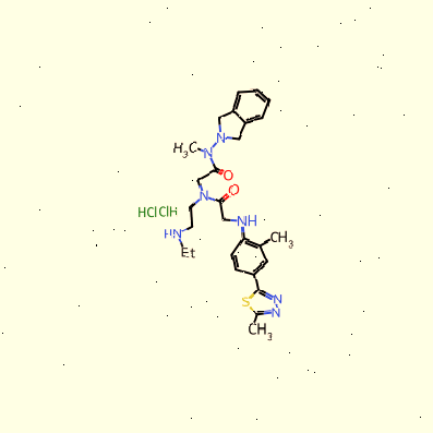 CCNCCN(CC(=O)N(C)N1Cc2ccccc2C1)C(=O)CNc1ccc(-c2nnc(C)s2)cc1C.Cl.Cl